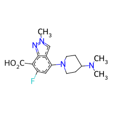 CN(C)C1CCN(c2cc(F)c(C(=O)O)c3nn(C)cc23)CC1